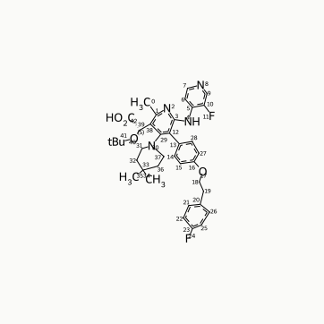 Cc1nc(Nc2ccncc2F)c(-c2ccc(OCCc3ccc(F)cc3)cc2)c(N2CCC(C)(C)CC2)c1[C@H](OC(C)(C)C)C(=O)O